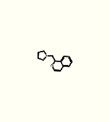 C1=Cc2ccccc2C(CN2CCCC2)O1